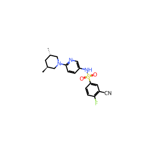 C[C@H]1C[C@H](C)CN(c2ccc(NS(=O)(=O)c3ccc(F)c(C#N)c3)cn2)C1